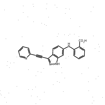 O=C(O)c1ccccc1Nc1ccc2c(C#Cc3ccccn3)n[nH]c2c1